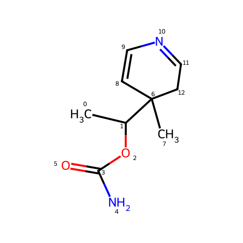 CC(OC(N)=O)C1(C)C=CN=CC1